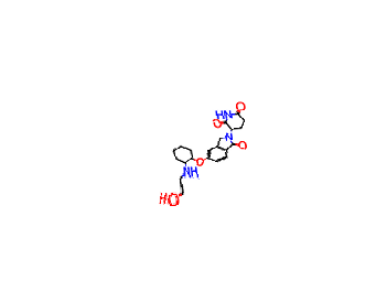 O=C1CCC(N2Cc3cc(OC4CCCCC4NCCO)ccc3C2=O)C(=O)N1